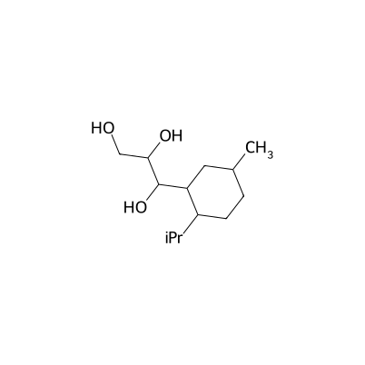 CC1CCC(C(C)C)C(C(O)C(O)CO)C1